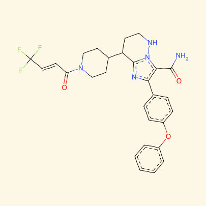 NC(=O)c1c(-c2ccc(Oc3ccccc3)cc2)nc2n1NCCC2C1CCN(C(=O)C=CC(F)(F)F)CC1